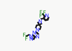 FC(F)Cn1ncc2ncc(N3CCC4(CC3)CN(Cc3cccnc3C(F)(F)F)C4)nc21